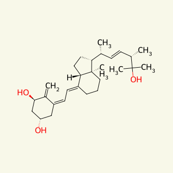 C=C1/C(=C\C=C2/CCC[C@]3(C)[C@@H]([C@H](C)/C=C/[C@H](C)C(C)(C)O)CC[C@@H]23)C[C@H](O)C[C@H]1O